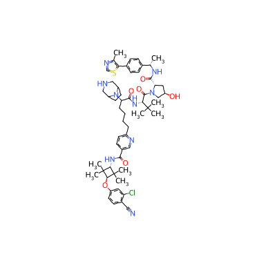 Cc1ncsc1-c1ccc([C@H](C)NC(=O)[C@@H]2C[C@@H](O)CN2C(=O)[C@@H](NC(=O)C(CCCCc2ccc(C(=O)N[C@H]3C(C)(C)[C@H](Oc4ccc(C#N)c(Cl)c4)C3(C)C)cn2)N2C3CCC2CNC3)C(C)(C)C)cc1